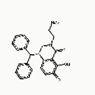 CNCCN1CN(C(c2ccccc2)c2ccccc2)n2ccc(=O)c(O)c2C1=O